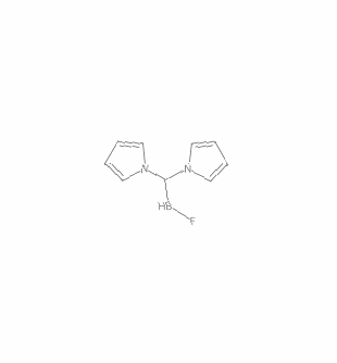 FBC(n1cccc1)n1cccc1